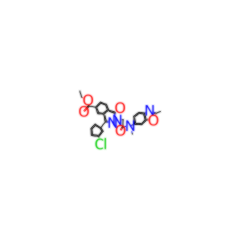 CCOC(=O)c1ccc2c(=O)n(CC(=O)N(C)c3ccc4nc(C)oc4c3)nc(-c3cccc(Cl)c3)c2c1